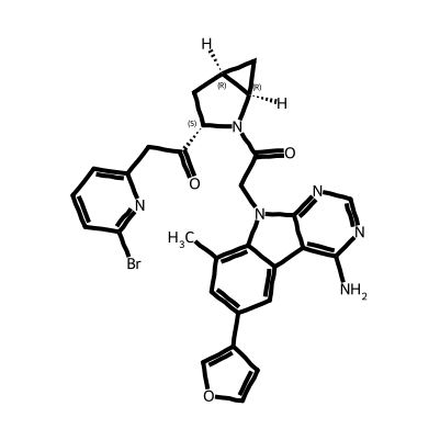 Cc1cc(-c2ccoc2)cc2c3c(N)ncnc3n(CC(=O)N3[C@@H]4C[C@@H]4C[C@H]3C(=O)Cc3cccc(Br)n3)c12